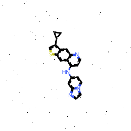 c1cc(Nc2ccn3ccnc3c2)c2cc3scc(C4CC4)c3cc2n1